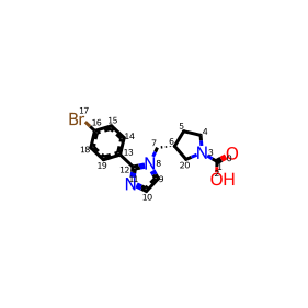 O=C(O)N1CC[C@@H](Cn2ccnc2-c2ccc(Br)cc2)C1